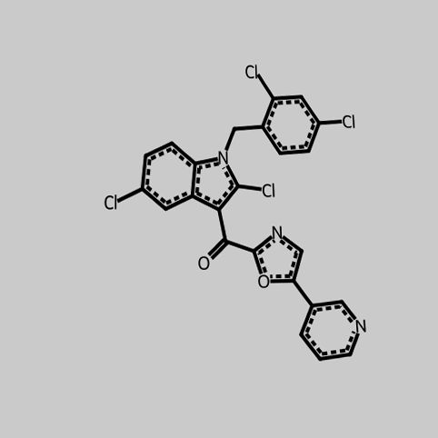 O=C(c1ncc(-c2cccnc2)o1)c1c(Cl)n(Cc2ccc(Cl)cc2Cl)c2ccc(Cl)cc12